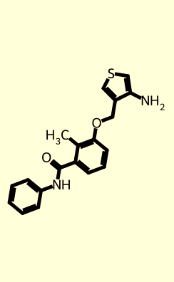 Cc1c(OCc2cscc2N)cccc1C(=O)Nc1ccccc1